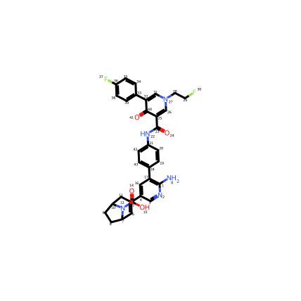 Nc1ncc(C2=CC3CCC(C2)N3C(=O)O)cc1-c1ccc(NC(=O)c2cn(CCF)cc(-c3ccc(F)cc3)c2=O)cc1